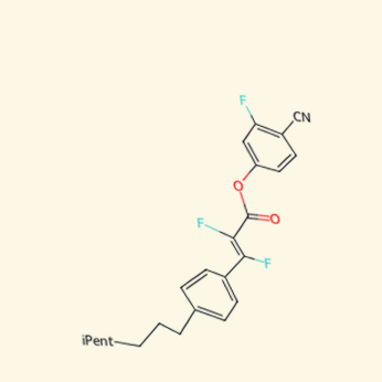 CCCC(C)CCCc1ccc(/C(F)=C(\F)C(=O)Oc2ccc(C#N)c(F)c2)cc1